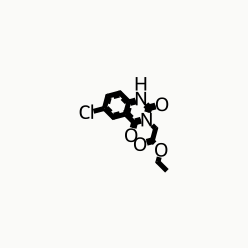 CCOC(=O)Cn1c(=O)[nH]c2ccc(Cl)cc2c1=O